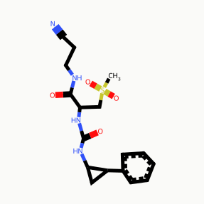 CS(=O)(=O)CC(NC(=O)NC1CC1c1ccccc1)C(=O)NCCC#N